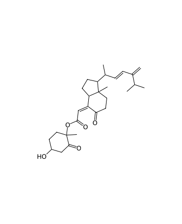 C=C(/C=C/C(C)C1CCC2/C(=C/C(=O)OC3(C)CCC(O)CC3=O)C(=O)CCC21C)C(C)C